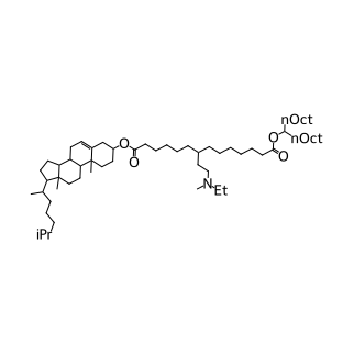 CCCCCCCCC(CCCCCCCC)OC(=O)CCCCCCC(CCCCCC(=O)OC1CCC2(C)C(=CCC3C2CCC2(C)C(C(C)CCCC(C)C)CCC32)C1)CCN(C)CC